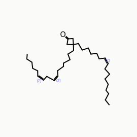 CCCCC/C=C\C/C=C\CCCCCCC1(CCCCCC/C=C\CCCCCCCC)CC(=O)C1